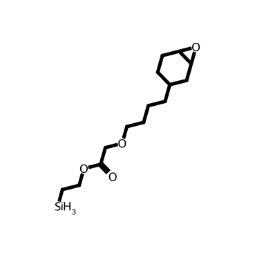 O=C(COCCCCC1CCC2OC2C1)OCC[SiH3]